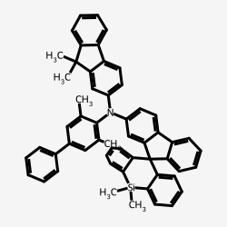 Cc1cc(-c2ccccc2)cc(C)c1N(c1ccc2c(c1)C(C)(C)c1ccccc1-2)c1ccc2c(c1)C1(c3ccccc3-2)c2ccccc2[Si](C)(C)c2ccccc21